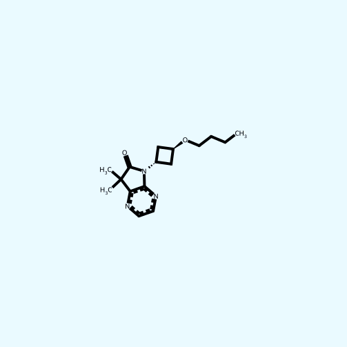 CCCCO[C@H]1C[C@H](N2C(=O)C(C)(C)c3nccnc32)C1